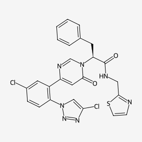 O=C(NCc1nccs1)[C@H](Cc1ccccc1)n1cnc(-c2cc(Cl)ccc2-n2cc(Cl)nn2)cc1=O